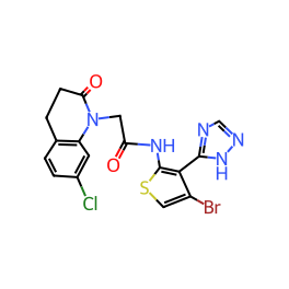 O=C(CN1C(=O)CCc2ccc(Cl)cc21)Nc1scc(Br)c1-c1ncn[nH]1